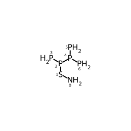 NSP(P)P(P)P